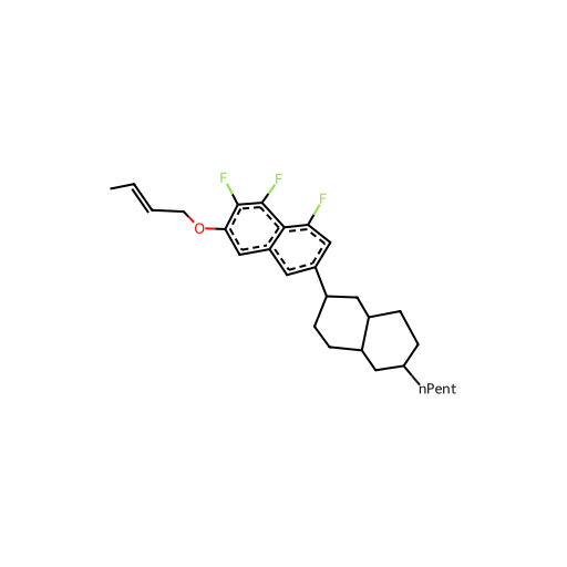 CC=CCOc1cc2cc(C3CCC4CC(CCCCC)CCC4C3)cc(F)c2c(F)c1F